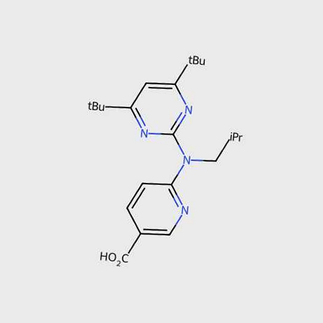 CC(C)CN(c1ccc(C(=O)O)cn1)c1nc(C(C)(C)C)cc(C(C)(C)C)n1